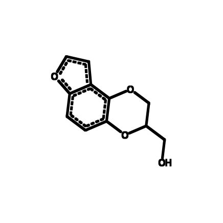 OCC1COc2c(ccc3occc23)O1